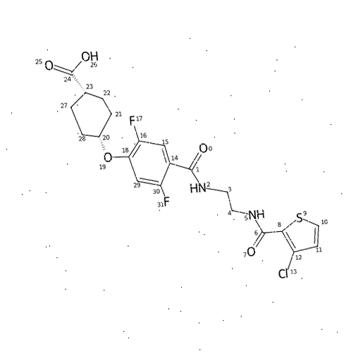 O=C(NCCNC(=O)c1sccc1Cl)c1cc(F)c(O[C@H]2CC[C@@H](C(=O)O)CC2)cc1F